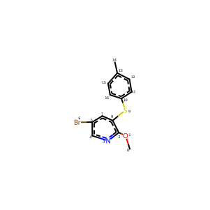 COc1ncc(Br)cc1Sc1ccc(C)cc1